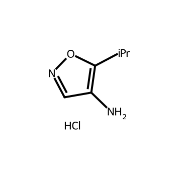 CC(C)c1oncc1N.Cl